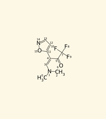 CN(C)/C=C(\C(=O)C(F)(F)F)c1ccno1